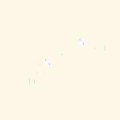 CCN1CC[C@H](c2cn(S(=O)(=O)c3ccccc3Br)c3ccccc23)C1